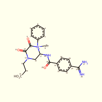 CCC[N+]1(c2ccccc2)C(=O)C(=O)N(CCC(=O)O)CC1NC(=O)c1ccc(C(=N)N)cc1